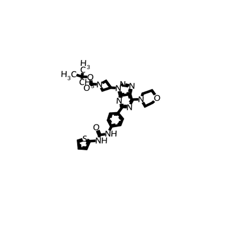 CC(C)(C)OC(=O)N1CC(n2nnc3c(N4CCOCC4)nc(-c4ccc(NC(=O)Nc5cccs5)cc4)nc32)C1